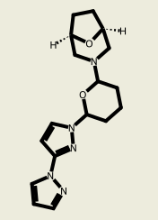 c1cnn(-c2ccn(C3CCCC(N4C[C@H]5CC[C@@H](C4)O5)O3)n2)c1